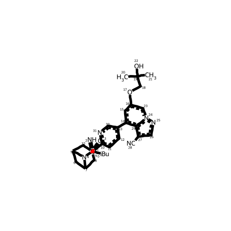 CCC(C)S(=N)(=O)N1C2CC1CN(c1ccc(-c3cc(OCC(C)(C)O)cn4ncc(C#N)c34)cn1)C2